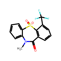 CN1C(=O)c2cccc(C(F)(F)F)c2S(=O)(=O)c2ccccc21